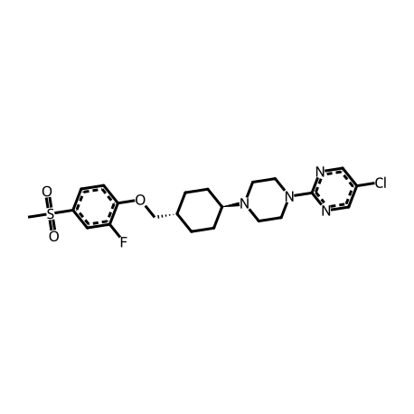 CS(=O)(=O)c1ccc(OC[C@H]2CC[C@H](N3CCN(c4ncc(Cl)cn4)CC3)CC2)c(F)c1